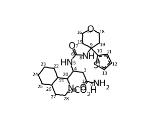 NC(=O)CC(NC(=O)NC1(c2cccs2)CCOCC1)C1C2CCCCC2CCN1C(=O)O